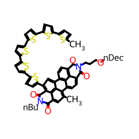 CCCCCCCCCCOCCCN1C(=O)c2ccc3c4cc(-c5ccc(-c6ccc(-c7ccc(-c8ccc(-c9ccc(-c%10ccc(C)s%10)s9)s8)s7)s6)s5)c5c6c(cc(C)c(c7ccc(c2c37)C1=O)c64)C(=O)N(CCCC)C5=O